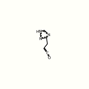 O=C=CCc1nc[nH]n1